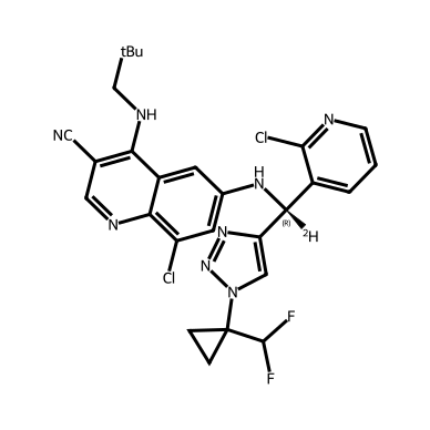 [2H][C@](Nc1cc(Cl)c2ncc(C#N)c(NCC(C)(C)C)c2c1)(c1cn(C2(C(F)F)CC2)nn1)c1cccnc1Cl